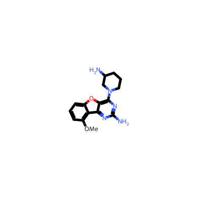 COc1cccc2oc3c(N4CCCC(N)C4)nc(N)nc3c12